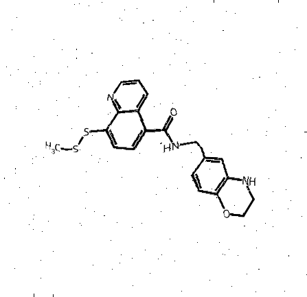 CSSc1ccc(C(=O)NCc2ccc3c(c2)NCCO3)c2cccnc12